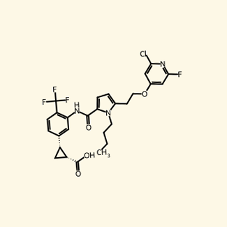 CCCCn1c(CCOc2cc(F)nc(Cl)c2)ccc1C(=O)Nc1cc([C@H]2C[C@H]2C(=O)O)ccc1C(F)(F)F